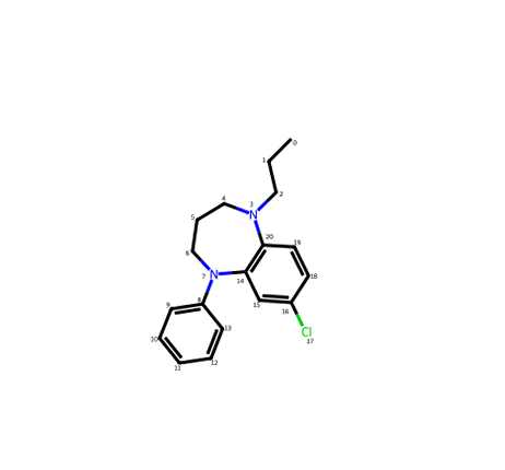 CCCN1CCCN(c2ccccc2)c2cc(Cl)ccc21